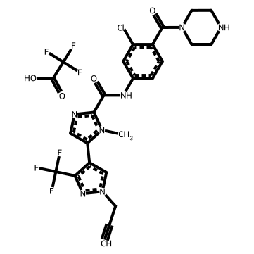 C#CCn1cc(-c2cnc(C(=O)Nc3ccc(C(=O)N4CCNCC4)c(Cl)c3)n2C)c(C(F)(F)F)n1.O=C(O)C(F)(F)F